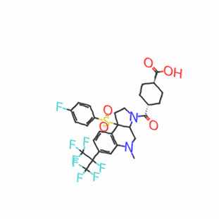 CN1CC2N(C(=O)[C@H]3CC[C@H](C(=O)O)CC3)CCC2(S(=O)(=O)c2ccc(F)cc2)c2ccc(C(F)(C(F)(F)F)C(F)(F)F)cc21